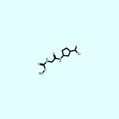 CC(=O)C(I)C1CCC(NC(=O)CNC(=O)OC(C)(C)C)C1